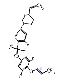 C=CC1CCC(c2ccc(C(F)(F)Oc3cc(F)c(O/C=C/C(F)(F)F)c(F)c3)c(F)c2)CC1